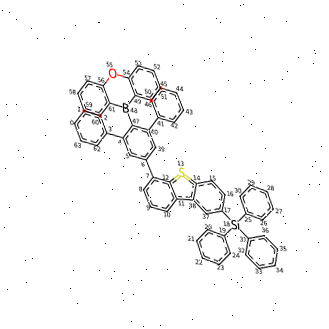 c1ccc(-c2cc(-c3cccc4c3sc3ccc([Si](c5ccccc5)(c5ccccc5)c5ccccc5)cc34)cc(-c3ccccc3)c2B2c3ccccc3Oc3ccccc32)cc1